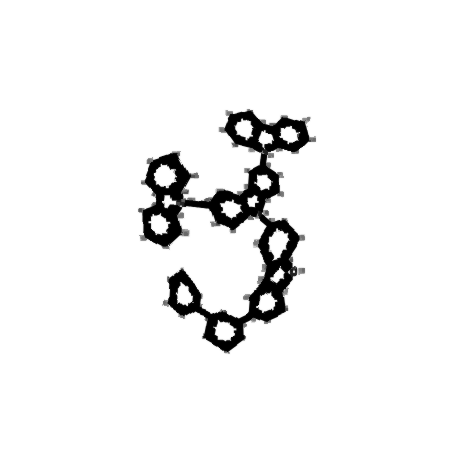 c1ccc(-c2cccc(-c3ccc4oc5ccc(-n6c7ccc(-n8c9ccccc9c9ccccc98)cc7c7cc(-n8c9ccccc9c9ccccc98)ccc76)cc5c4c3)c2)cc1